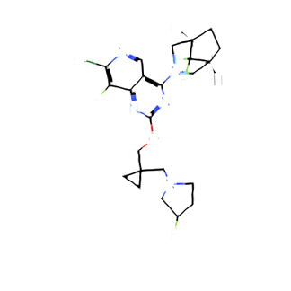 Fc1c(Cl)ncc2c(N3C[C@H]4CC[C@@H](C3)C4(F)F)nc(OCC3(CN4CCC(F)C4)CC3)nc12